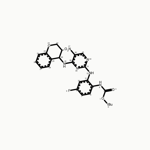 CC(C)(C)OC(=O)Nc1ccc(F)cc1Nc1ncc([N+](=O)[O-])c(NC2CCOc3ccccc32)n1